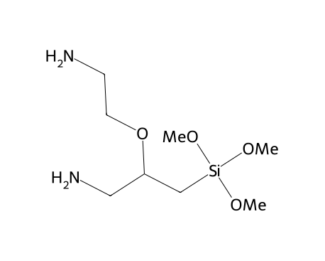 CO[Si](CC(CN)OCCN)(OC)OC